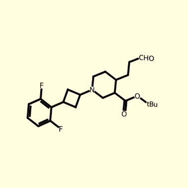 CC(C)(C)OC(=O)C1CN(C2CC(c3c(F)cccc3F)C2)CCC1CCC=O